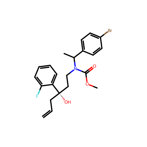 C=CC[C@](O)(CCN(C(=O)OC)C(C)c1ccc(Br)cc1)c1ccccc1F